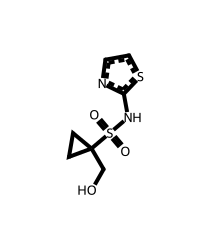 O=S(=O)(Nc1nccs1)C1(CO)CC1